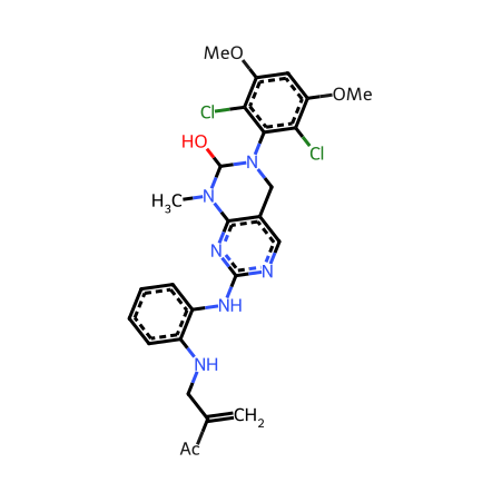 C=C(CNc1ccccc1Nc1ncc2c(n1)N(C)C(O)N(c1c(Cl)c(OC)cc(OC)c1Cl)C2)C(C)=O